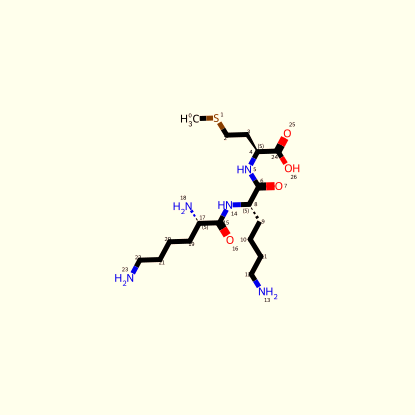 CSCC[C@H](NC(=O)[C@H](CCCCN)NC(=O)[C@@H](N)CCCCN)C(=O)O